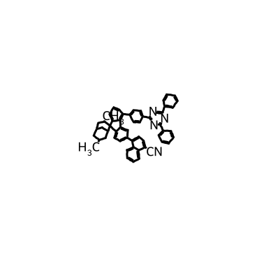 CC1CC2CC(C)C3(c4ccc(-c5ccc(C#N)c6ccccc56)cc4-c4c(-c5ccc(-c6nc(-c7ccccc7)nc(-c7ccccc7)n6)cc5)cccc43)C(C1)C2